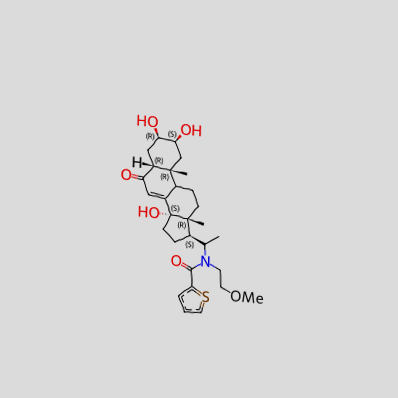 COCCN(C(=O)c1cccs1)C(C)[C@H]1CC[C@@]2(O)C3=CC(=O)[C@@H]4C[C@@H](O)[C@@H](O)C[C@]4(C)C3CC[C@]12C